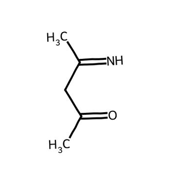 CC(=N)CC(C)=O